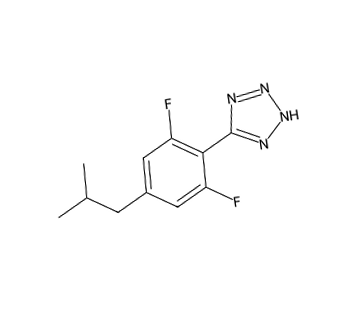 CC(C)Cc1cc(F)c(-c2nn[nH]n2)c(F)c1